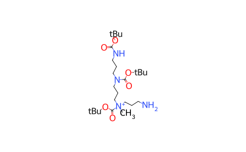 CC(C)(C)OC(=O)NCCCN(CCC[N+](C)(CCCN)C(=O)OC(C)(C)C)C(=O)OC(C)(C)C